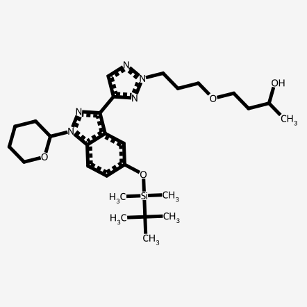 CC(O)CCOCCCn1ncc(-c2nn(C3CCCCO3)c3ccc(O[Si](C)(C)C(C)(C)C)cc23)n1